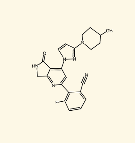 N#Cc1cccc(F)c1-c1cc(-n2ccc(N3CCC(O)CC3)n2)c2c(n1)CNC2=O